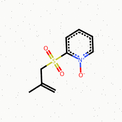 C=C(C)CS(=O)(=O)c1cccc[n+]1[O-]